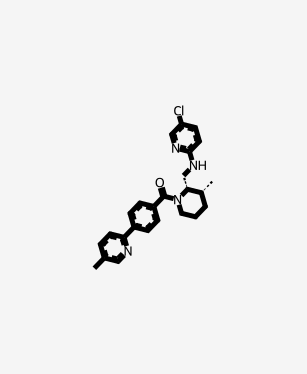 Cc1ccc(-c2ccc(C(=O)N3CCC[C@@H](C)[C@H]3CNc3ccc(Cl)cn3)cc2)nc1